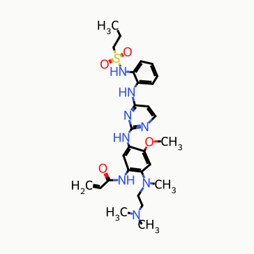 C=CC(=O)Nc1cc(Nc2nccc(Nc3ccccc3NS(=O)(=O)CCC)n2)c(OC)cc1N(C)CCN(C)C